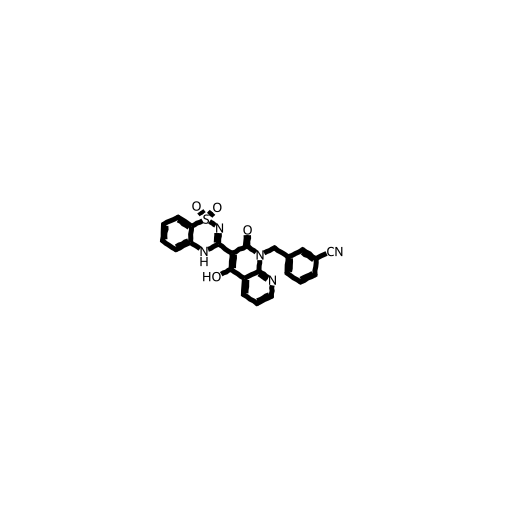 N#Cc1cccc(Cn2c(=O)c(C3=NS(=O)(=O)c4ccccc4N3)c(O)c3cccnc32)c1